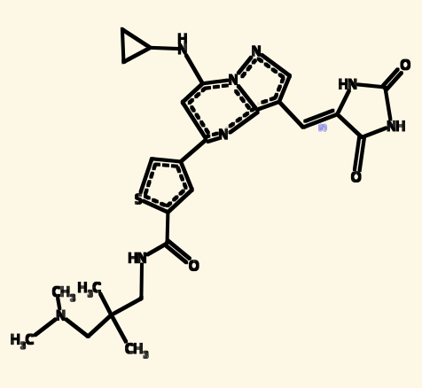 CN(C)CC(C)(C)CNC(=O)c1cc(-c2cc(NC3CC3)n3ncc(/C=C4\NC(=O)NC4=O)c3n2)cs1